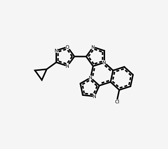 Clc1cccc2c1c1nccn1c1c(-c3nc(C4CC4)no3)ncn21